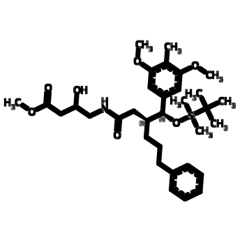 COC(=O)CC(O)CNC(=O)C[C@H](CCCc1ccccc1)[C@H](O[Si](C)(C)C(C)(C)C)c1cc(OC)c(C)c(OC)c1